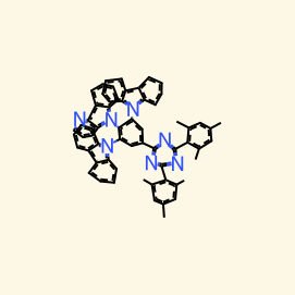 Cc1cc(C)c(-c2nc(-c3cc(-n4c5ccccc5c5ccccc54)c(-n4c5ccccc5c5ncccc54)c(-n4c5ccccc5c5ccccc54)c3)nc(-c3c(C)cc(C)cc3C)n2)c(C)c1